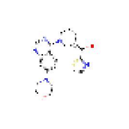 OC(c1nccs1)[C@@H]1CCCN(c2ncnc3cc(N4CCOCC4)ccc23)C1